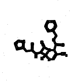 CC1=CS[C@@H]2C(NC(=O)Cc3cccs3)C(=O)N2C1C(=O)OCc1ccccc1